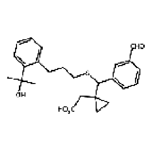 CC(C)(O)c1ccccc1CCCSC(c1cccc(C=O)c1)C1(CC(=O)O)CC1